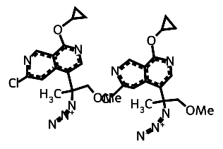 COCC(C)(N=[N+]=[N-])c1cnc(OC2CC2)c2cnc(Cl)cc12.COCC(C)(N=[N+]=[N-])c1cnc(OC2CC2)c2cnc(Cl)cc12